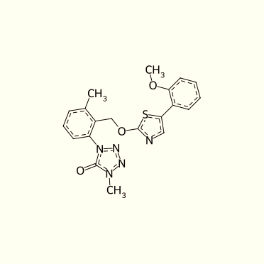 COc1ccccc1-c1cnc(OCc2c(C)cccc2-n2nnn(C)c2=O)s1